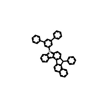 c1ccc(-c2cc(-c3ccccc3)cc(-n3c4ccccc4c4c5c(ccc43)C(c3ccccc3)c3c-5ccc4ccccc34)c2)cc1